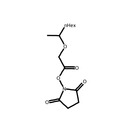 CCCCCCC(C)OCC(=O)ON1C(=O)CCC1=O